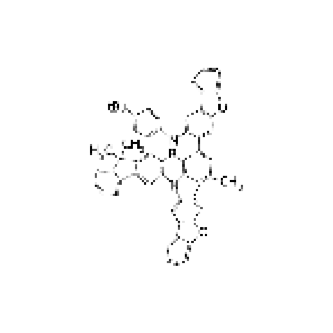 Cc1cc2c3c4c1c1cc5oc6ccccc6c5cc1n4-c1cc4c(cc1B3N(c1ccc(C(C)(C)C)cc1)c1cc3c(cc1-2)oc1ccccc13)C(C)(C)c1ccccc1-4